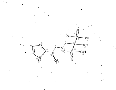 C[C@H](COCC(O)(P(=O)(O)O)P(=O)(O)O)c1ncc[nH]1